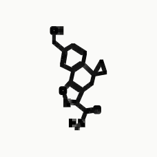 NC(=O)c1noc2c1CC1(CC1)c1ccc(CO)cc1-2